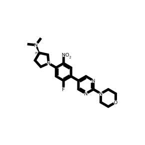 CN(C)[C@@H]1CCN(c2cc(F)c(-c3cnc(N4CCOCC4)nc3)cc2[N+](=O)[O-])C1